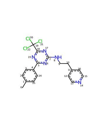 Cc1ccc(-c2nc(NCCc3ccncc3)nc(C(Cl)(Cl)Cl)n2)cc1